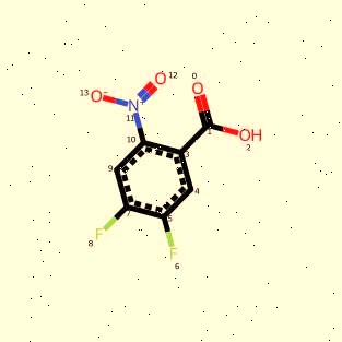 O=C(O)c1cc(F)c(F)cc1[N+](=O)[O-]